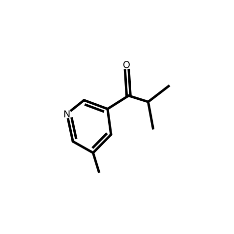 Cc1cncc(C(=O)C(C)C)c1